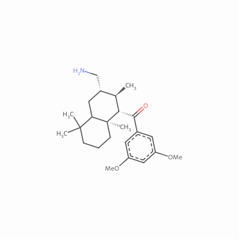 COc1cc(OC)cc(C(=O)[C@H]2[C@H](C)[C@@H](CN)CC3C(C)(C)CCC[C@@]32C)c1